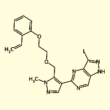 C=Cc1ccccc1OCCOCc1c(-c2ncc3[nH]nc(I)c3n2)cnn1C